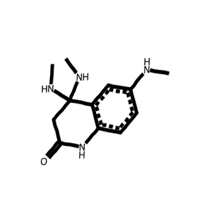 CNc1ccc2c(c1)C(NC)(NC)CC(=O)N2